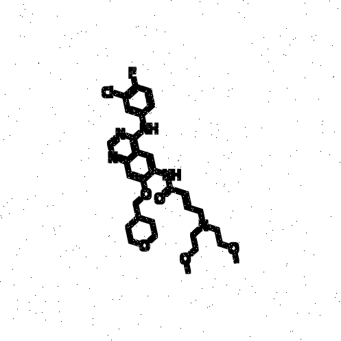 COCCN(CC=CC(=O)Nc1cc2c(Nc3ccc(F)c(Cl)c3)ncnc2cc1OCC1CCOCC1)CCOC